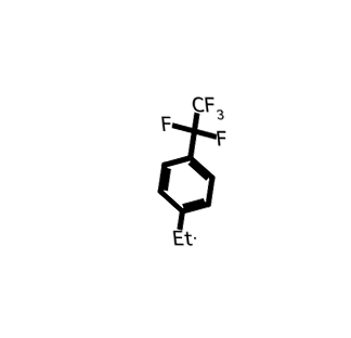 C[CH]c1ccc(C(F)(F)C(F)(F)F)cc1